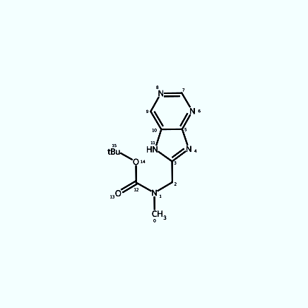 CN(Cc1nc2ncncc2[nH]1)C(=O)OC(C)(C)C